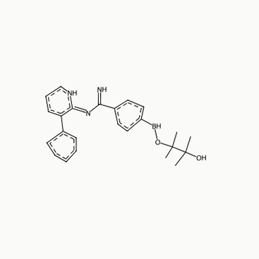 CC(C)(O)C(C)(C)OBc1ccc(C(=N)/N=c2\[nH]cccc2-c2ccccc2)cc1